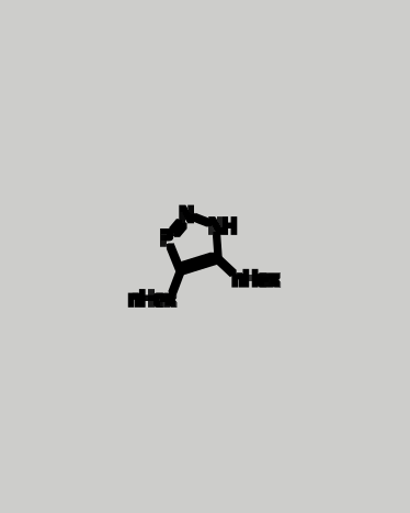 CCCCCCc1[nH]npc1CCCCCC